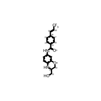 O=C(Nc1ccc2c(c1)OCC(CO)N2)c1ccc(C=CC(F)(F)F)cc1